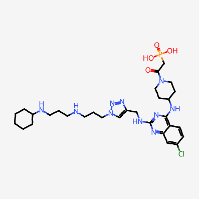 O=C(CP(=O)(O)O)N1CCC(Nc2nc(NCc3cn(CCCNCCCNC4CCCCC4)nn3)nc3cc(Cl)ccc23)CC1